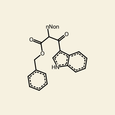 CCCCCCCCCC(C(=O)OCc1ccccc1)C(=O)c1c[nH]c2ccccc12